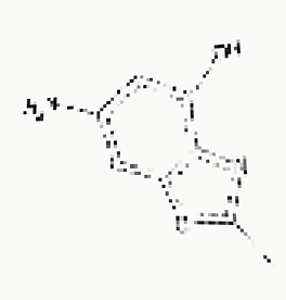 Cc1nc2c(O)cc(N)cc2o1